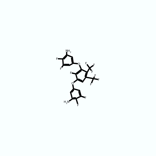 Nc1cc(Oc2cc(C(F)(F)F)c(C(F)(F)F)c(Oc3cc(N)c(F)c(F)c3)c2F)cc(F)c1F